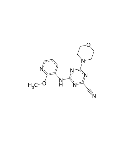 COc1ncccc1Nc1nc(C#N)nc(N2CCOCC2)n1